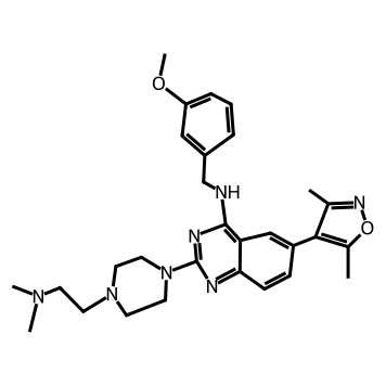 COc1cccc(CNc2nc(N3CCN(CCN(C)C)CC3)nc3ccc(-c4c(C)noc4C)cc23)c1